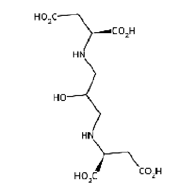 O=C(O)C[C@H](NCC(O)CN[C@@H](CC(=O)O)C(=O)O)C(=O)O